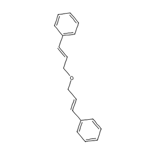 C(=C\c1ccccc1)/COC/C=C/c1ccccc1